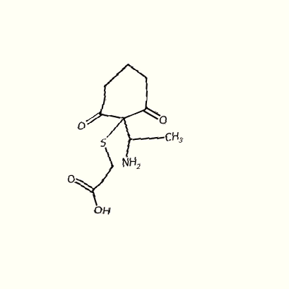 CC(N)C1(SCC(=O)O)C(=O)CCCC1=O